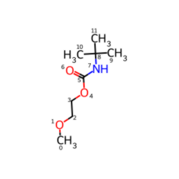 COCCOC(=O)NC(C)(C)C